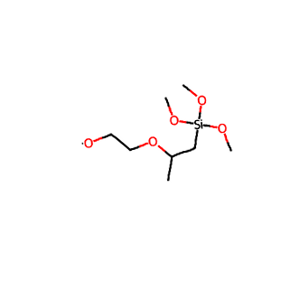 CO[Si](CC(C)OCC[O])(OC)OC